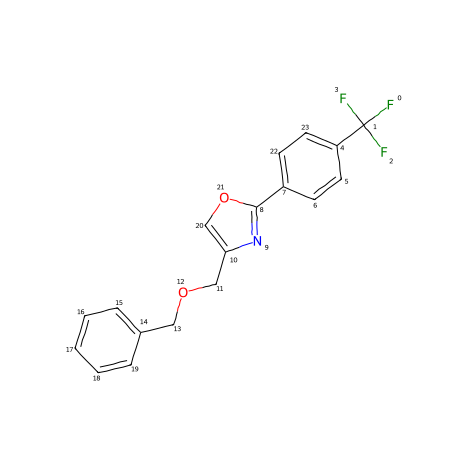 FC(F)(F)c1ccc(-c2nc(COCc3ccccc3)co2)cc1